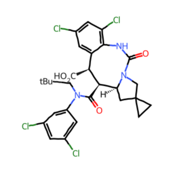 CC(C)(C)CN(C(=O)[C@H]1[C@@H](C(=O)O)c2cc(Cl)cc(Cl)c2NC(=O)N2CC3(CC3)C[C@@H]12)c1cc(Cl)cc(Cl)c1